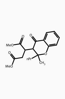 CCCC1(C)Oc2ccccc2C(=O)C1C(CC(=O)OC)C(=O)OC